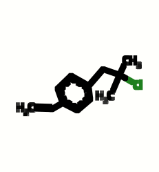 C=Cc1ccc(CC(C)(C)Cl)cc1